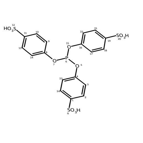 O=S(=O)(O)c1ccc(OP(Oc2ccc(S(=O)(=O)O)cc2)Oc2ccc(S(=O)(=O)O)cc2)cc1